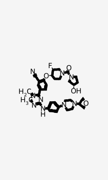 C=N/C(=N\C(=N/C)Nc1ccc(N2CCN(C3COC3)CC2)cc1)c1ccc(O[C@H]2CCN(C(=O)N3CC[C@H](O)C3)C[C@H]2F)c(C#N)c1